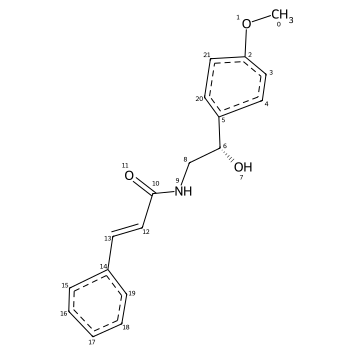 COc1ccc([C@H](O)CNC(=O)/C=C/c2ccccc2)cc1